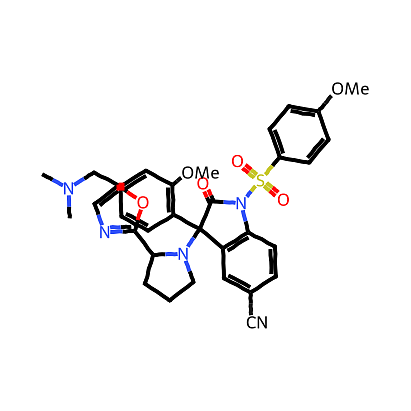 COc1ccc(S(=O)(=O)N2C(=O)C(c3ccc(CN(C)C)cc3OC)(N3CCCC3c3ncco3)c3cc(C#N)ccc32)cc1